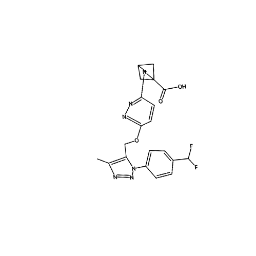 Cc1nnn(-c2ccc(C(F)F)cc2)c1COc1ccc(N2CC3CC2(C(=O)O)C3)nn1